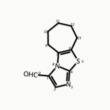 O=Cc1cnc2sc3c(n12)CCCCC3